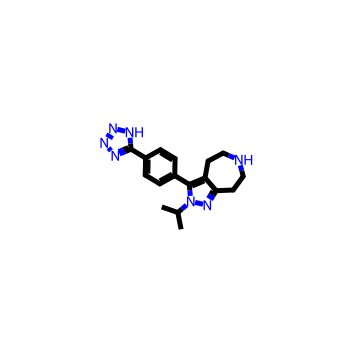 CC(C)n1nc2c(c1-c1ccc(-c3nnn[nH]3)cc1)CCNCC2